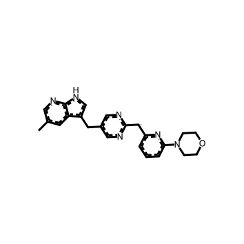 Cc1cnc2[nH]cc(Cc3cnc([CH]c4cccc(N5CCOCC5)n4)nc3)c2c1